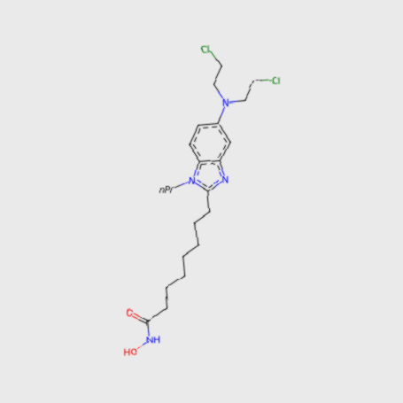 CCCn1c(CCCCCCCC(=O)NO)nc2cc(N(CCCl)CCCl)ccc21